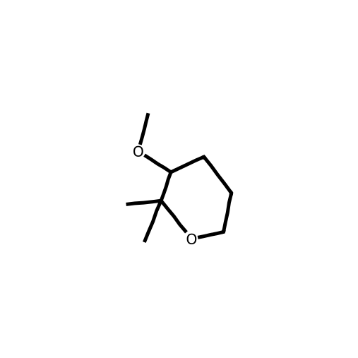 COC1CCCOC1(C)C